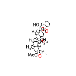 COC(=O)[C@@]1(C)CC[C@]2(C)CCC3(C)C(=CC(=O)C4[C@@]5(C)CC[C@H](OC(=O)[C@H]6CCCC[C@@H]6C(=O)O)C(C)(C)C5CC[C@]43C)[C@@H]2C1